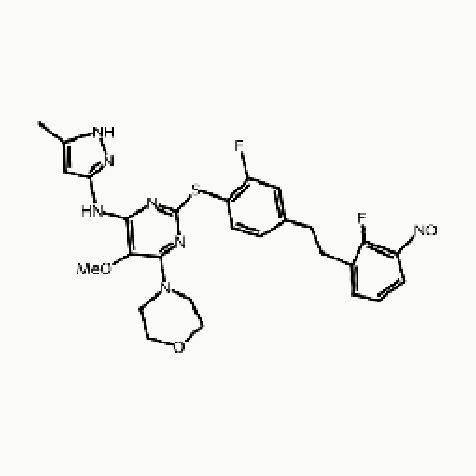 COc1c(Nc2cc(C)[nH]n2)nc(Sc2ccc(CCc3cccc(N=O)c3F)cc2F)nc1N1CCOCC1